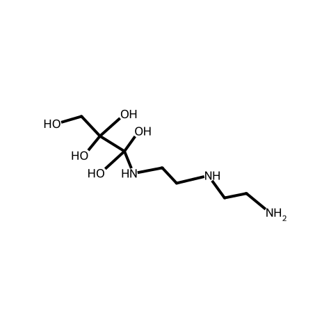 NCCNCCNC(O)(O)C(O)(O)CO